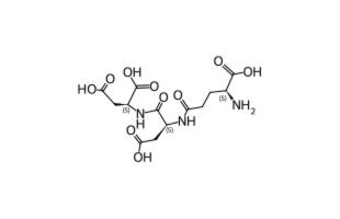 N[C@@H](CCC(=O)N[C@@H](CC(=O)O)C(=O)N[C@@H](CC(=O)O)C(=O)O)C(=O)O